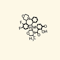 CC1COC[C@@H]2N1C(=O)c1c(O)c(=O)ccn1N2C1c2ccccc2N2CCOCC2c2c1ccc(F)c2F